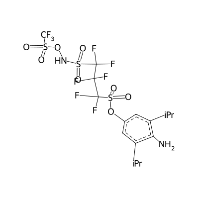 CC(C)c1cc(OS(=O)(=O)C(F)(F)C(F)(F)C(F)(F)S(=O)(=O)NOS(=O)(=O)C(F)(F)F)cc(C(C)C)c1N